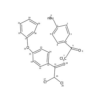 CCCCc1ccc(C(=O)C(Cl)(Cl)Cl)cc1.O=C(c1ccc(Oc2ccccc2)cc1)C(Cl)Cl